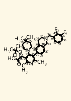 Cc1nc(C)c([C@H](OC(C)(C)C)C(=O)O)c(N2CCC(C)(C)CC2)c1-c1ccc2c(c1)CCN(Cc1cccc(F)c1F)C2